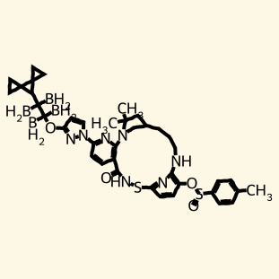 BC(B)(Oc1ccn(-c2ccc3c(n2)N2CC(CCCNc4nc(ccc4OS(=O)c4ccc(C)cc4)SNC3=O)CC2(C)C)n1)C(B)(B)C1C2(CC2)C12CC2